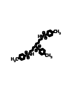 Cc1ccc(S(=O)(=O)NCCCCN(CCCNS(=O)(=O)c2ccc(C)cc2)S(=O)(=O)c2ccc(C)cc2)cc1